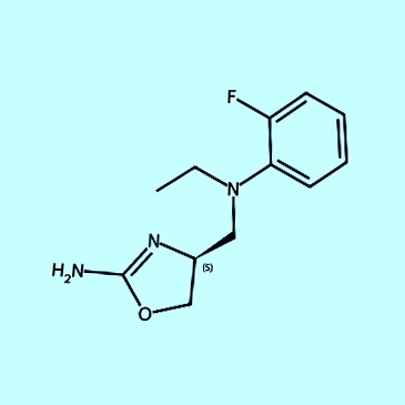 CCN(C[C@H]1COC(N)=N1)c1ccccc1F